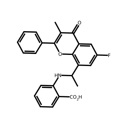 Cc1c(-c2ccccc2)oc2c(C(C)Nc3ccccc3C(=O)O)cc(F)cc2c1=O